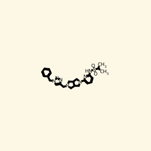 CC(C)S(=O)(=O)Nc1cccc(N2CC3CN(Cc4cn(Cc5ccccc5)nn4)CC3C2)n1